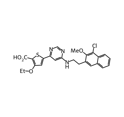 CCOc1cc(-c2cc(NCCc3cc4ccccc4c(Cl)c3OC)ncn2)sc1C(=O)O